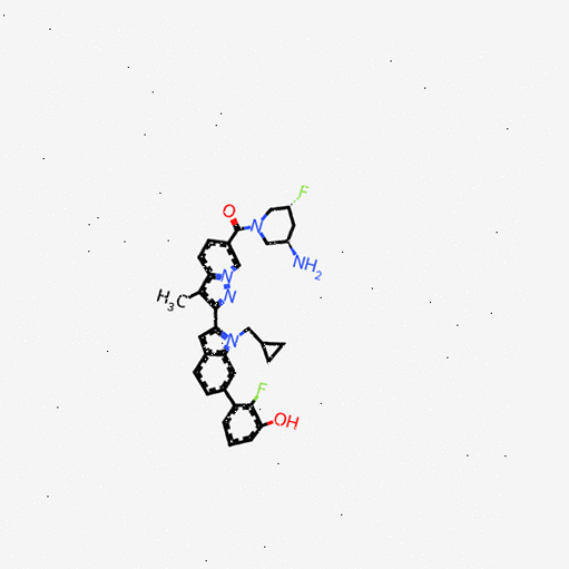 Cc1c(-c2cc3ccc(-c4cccc(O)c4F)cc3n2CC2CC2)nn2cc(C(=O)N3C[C@H](N)C[C@@H](F)C3)ccc12